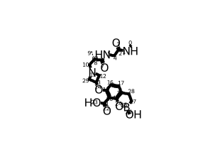 CNC(=O)CNC(=O)[C@@H](C)CN1CC(Oc2ccc3c(c2C(=O)O)OB(O)CC3)C1